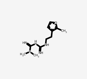 Cc1occc1CCNC(=N)NC(=N)N(C)C